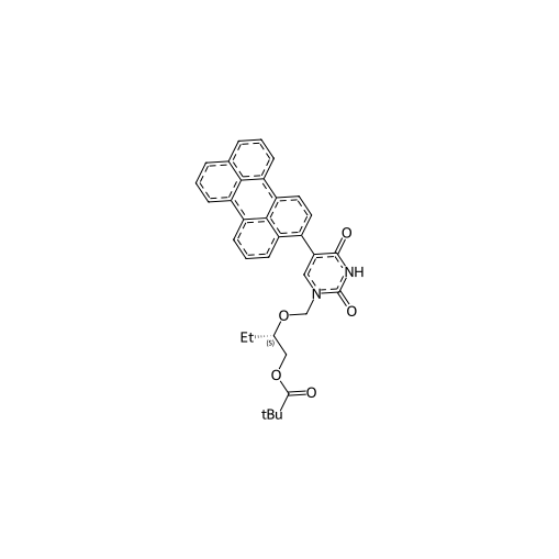 CC[C@@H](COC(=O)C(C)(C)C)OCn1cc(-c2ccc3c4cccc5cccc(c6cccc2c63)c54)c(=O)[nH]c1=O